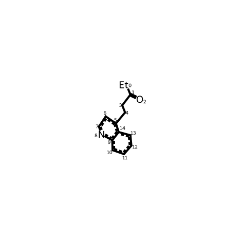 CCC(=O)CCc1ccnc2ccccc12